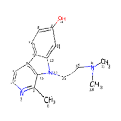 Cc1nccc2c3ccc(O)cc3n(CCN(C)C)c12